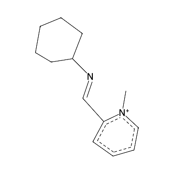 C[n+]1ccccc1C=NC1CCCCC1